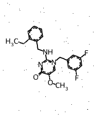 CCc1ccccc1CNc1nc(=O)c(OC)cn1Cc1cc(F)cc(F)c1